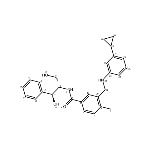 Cc1ccc(C(=O)N[C@@H](CO)[C@@H](O)c2ccccc2)cc1CNc1cncc(C2CC2)c1